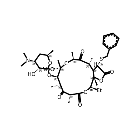 CC[C@H]1OC(=O)[C@H](C)C(=O)[C@H](C)[C@@H](O[C@@H]2O[C@H](C)C[C@H](N(C)C)[C@H]2O)[C@](C)(OC)C[C@@H](C)C(=O)[C@H](C)[C@H]2[C@H](SCc3ccccc3)C(=O)O[C@@]21C